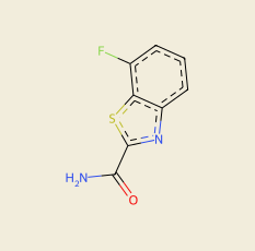 NC(=O)c1nc2cccc(F)c2s1